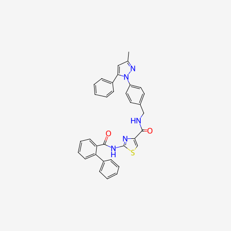 Cc1cc(-c2ccccc2)n(-c2ccc(CNC(=O)c3csc(NC(=O)c4ccccc4-c4ccccc4)n3)cc2)n1